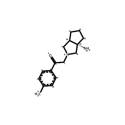 Cc1ccc(C(=O)CN2CC3CCC[C@@]3(N)C2)cc1